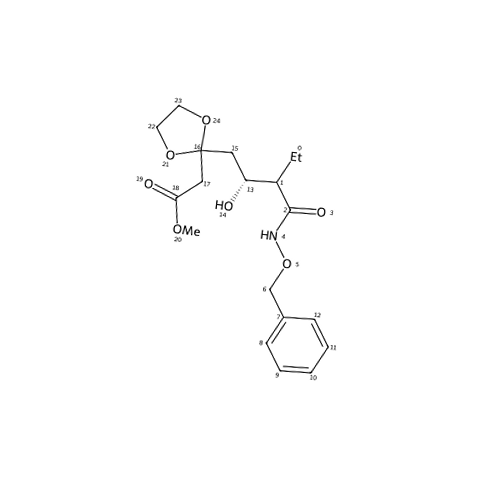 CCC(C(=O)NOCc1ccccc1)[C@H](O)CC1(CC(=O)OC)OCCO1